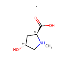 C.O=C(O)[C@@H]1C[C@@H](O)CN1